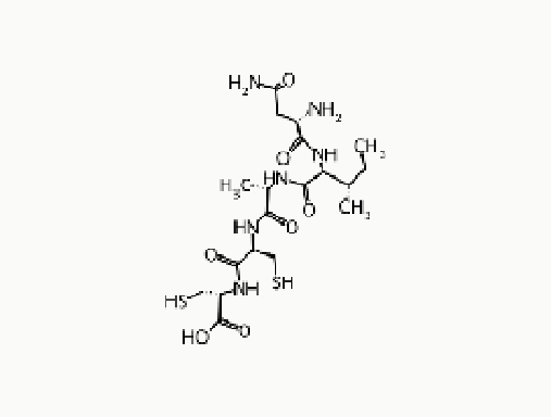 CC[C@H](C)[C@H](NC(=O)[C@@H](N)CC(N)=O)C(=O)N[C@@H](C)C(=O)N[C@@H](CS)C(=O)N[C@@H](CS)C(=O)O